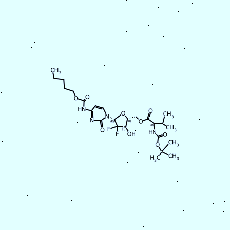 CCCCCOC(=O)Nc1ccn([C@@H]2O[C@H](COC(=O)[C@H](NC(=O)OC(C)(C)C)C(C)C)[C@@H](O)C2(F)F)c(=O)n1